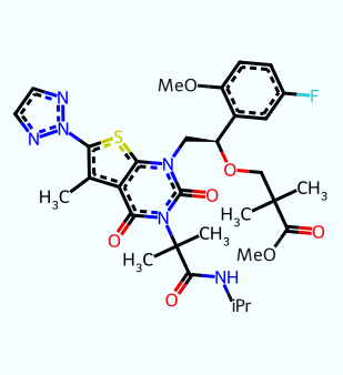 COC(=O)C(C)(C)CO[C@@H](Cn1c(=O)n(C(C)(C)C(=O)NC(C)C)c(=O)c2c(C)c(-n3nccn3)sc21)c1cc(F)ccc1OC